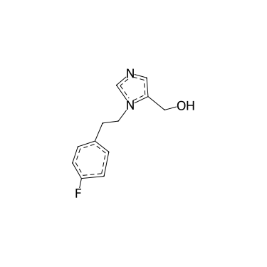 OCc1cncn1CCc1ccc(F)cc1